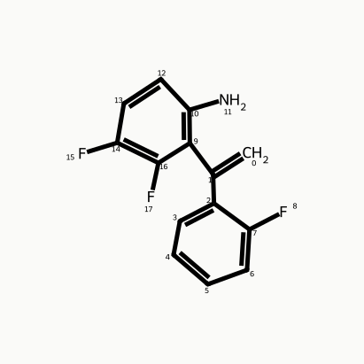 C=C(c1ccccc1F)c1c(N)ccc(F)c1F